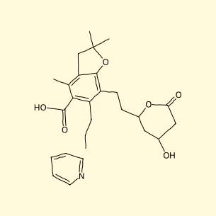 CCCc1c(CCC2CC(O)CC(=O)O2)c2c(c(C)c1C(=O)O)CC(C)(C)O2.c1ccncc1